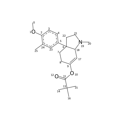 COc1ccc(C23CCC(OC(=O)C(C)(C)C)=CC2N(C)CC3)cc1C